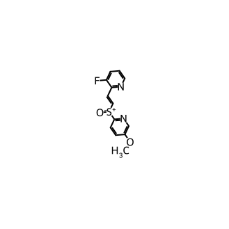 COc1ccc([S+]([O-])/C=C/c2ncccc2F)nc1